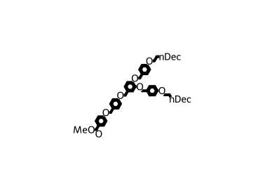 CCCCCCCCCCCCOc1ccc(COc2ccc(COc3ccc(COc4ccc(C(=O)OC)cc4)cc3)cc2OCc2ccc(OCCCCCCCCCCCC)cc2)cc1